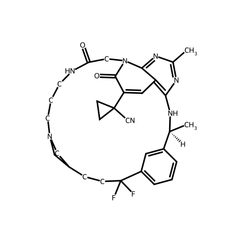 Cc1nc2c3cc(C4(C#N)CC4)c(=O)n(c3n1)CC(=O)NCCCN1CC(CCC(F)(F)c3cccc(c3)[C@H](C)N2)C1